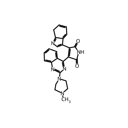 CN1CCN(c2nc(C3=C(C4=CN=C5CC=CC=C45)C(=O)NC3=O)c3ccccc3n2)CC1